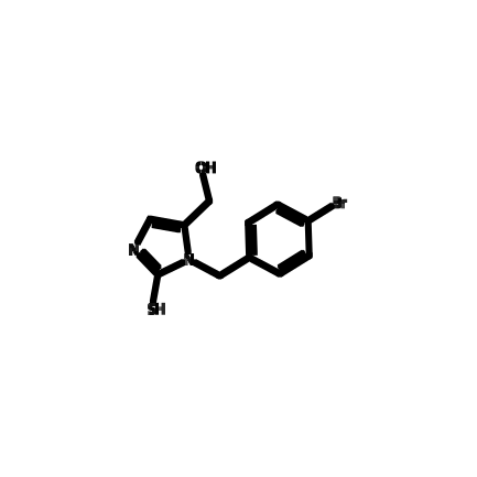 OCc1cnc(S)n1Cc1ccc(Br)cc1